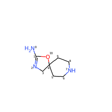 NC1=NCC2(CCNCC2)O1